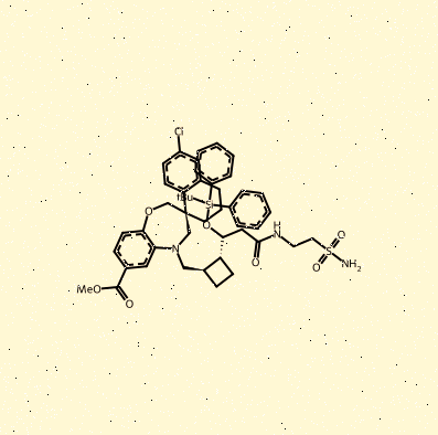 COC(=O)c1ccc2c(c1)N(C[C@@H]1CC[C@H]1C(CC(=O)NCCS(N)(=O)=O)O[Si](c1ccccc1)(c1ccccc1)C(C)(C)C)C[C@@]1(CCCc3cc(Cl)ccc31)CO2